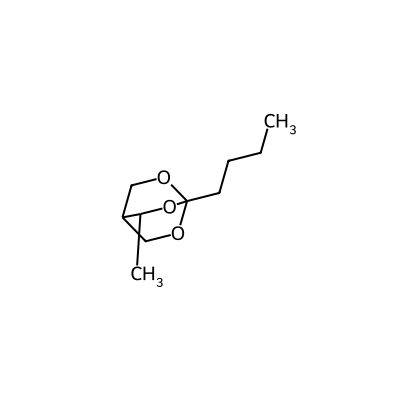 CCCCC12OCC(CO1)C(C)O2